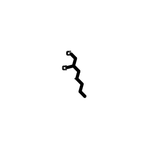 CCC[CH]CC(Cl)CCl